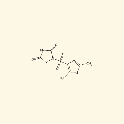 Cc1cc(S(=O)(=O)N2CC(=O)NC2=O)c(C)s1